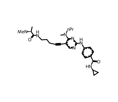 CCCN(C)c1nc(Nc2ccc(C(=O)NC3CC3)cc2)ncc1C#CCCCNC(=O)[C@H](C)NC